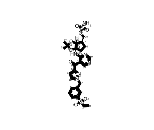 C=CS(=O)(=O)c1cccc(Cn2ccc(C(=O)c3cncnc3N[C@@]34CC[C@H](COS(N)(=O)=O)[C@H]3OC(C)(C)O4)n2)c1